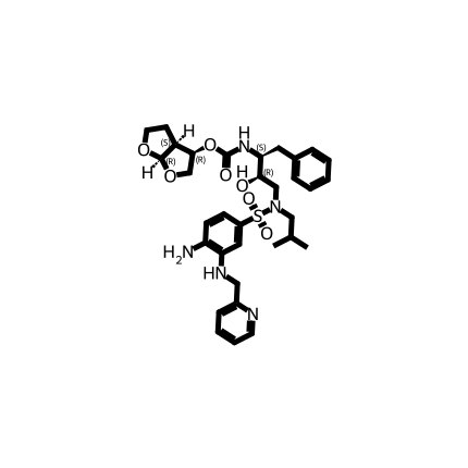 CC(C)CN(C[C@@H](O)[C@H](Cc1ccccc1)NC(=O)O[C@H]1CO[C@H]2OCC[C@H]21)S(=O)(=O)c1ccc(N)c(NCc2ccccn2)c1